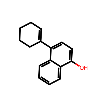 Oc1ccc(C2=CCCCC2)c2ccccc12